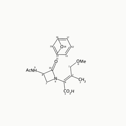 COCC(C)=C(C(=O)O)N1CC(NC(C)=O)C1=O.c1cc2cc(c1)O2